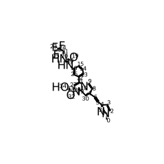 Cn1ccc(C#Cc2ccn3c(-c4cccc(NC(=O)NCC(F)(F)F)c4)cnc3c2)n1.O=CO